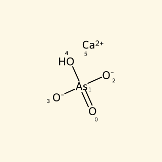 O=[As]([O-])([O-])O.[Ca+2]